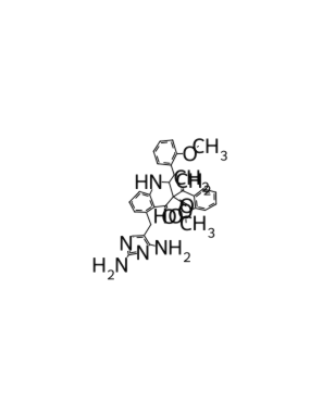 C=C(c1ccccc1OC)C1Nc2cccc(Cc3cnc(N)nc3N)c2C(=O)C1(C(=C)c1ccccc1OC)C(=O)O